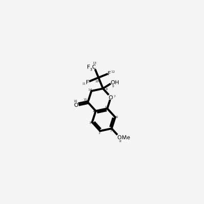 COc1ccc2c(c1)OC(O)(C(F)(F)C(F)(F)F)CC2=O